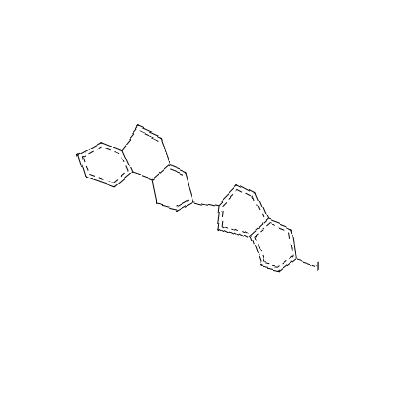 Ic1ccc2cc(C3=CCC4C(=C3)C=Cc3ccccc34)ccc2c1